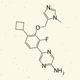 Cn1cncc1COc1c(C2CCC2)ccc(-c2cnc(N)cn2)c1F